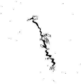 Cl.Cl.Cl.N=C(N)NCCCCCC=CC(=O)NC(O)C(=O)NCCCCNCCCN